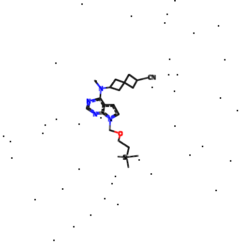 CN(c1ncnc2c1ccn2COCC[Si](C)(C)C)C1CC2(CC(C#N)C2)C1